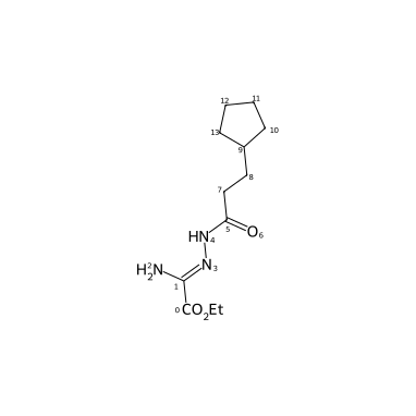 CCOC(=O)C(N)=NNC(=O)CCC1CCCC1